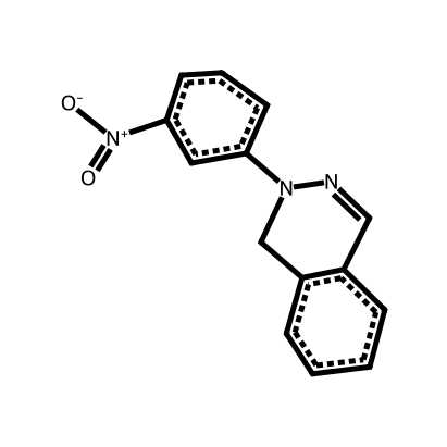 O=[N+]([O-])c1cccc(N2Cc3ccccc3C=N2)c1